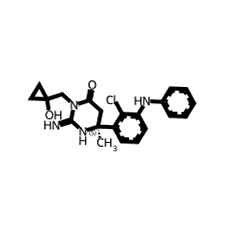 C[C@@]1(c2cccc(Nc3ccccc3)c2Cl)CC(=O)N(CC2(O)CC2)C(=N)N1